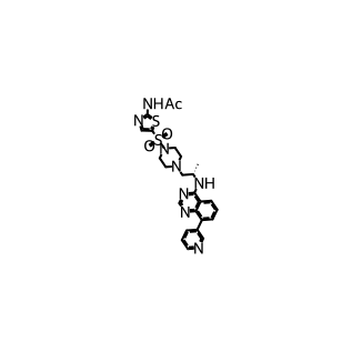 CC(=O)Nc1ncc(S(=O)(=O)N2CCN(C[C@H](C)Nc3ncnc4c(-c5cccnc5)cccc34)CC2)s1